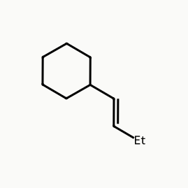 CCC=CC1CCCCC1